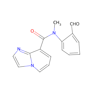 CN(C(=O)c1cccn2ccnc12)c1ccccc1C=O